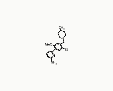 CCc1cc(-c2cccc(N)n2)c(OC)cc1CN1CCC(C)CC1